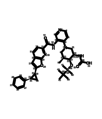 C[C@H]1CN(c2ccncc2NC(=O)c2ccc3cc([C@H]4C[C@@H]4c4ccccc4)oc3n2)C[C@@H](NC(=O)O)[C@H]1O[Si](C)(C)C(C)(C)C